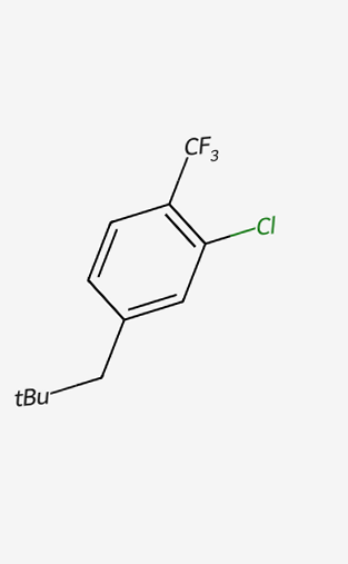 CC(C)(C)Cc1ccc(C(F)(F)F)c(Cl)c1